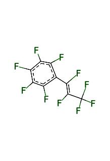 FC(=C(F)C(F)(F)F)c1c(F)c(F)c(F)c(F)c1F